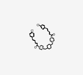 O=C(C=CC=Cc1ccc(Cl)cc1)N1CCN(CC2CCC(CN3CCN(C(=O)C=CC=Cc4ccc(Cl)cc4)CC3)CC2)CC1